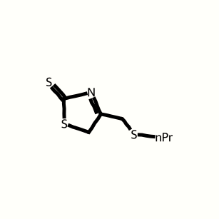 CCCSCC1=NC(=S)SC1